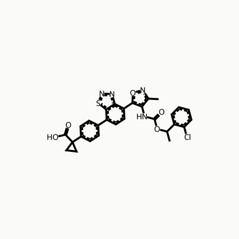 Cc1noc(-c2ccc(-c3ccc(C4(C(=O)O)CC4)cc3)c3snnc23)c1NC(=O)OC(C)c1ccccc1Cl